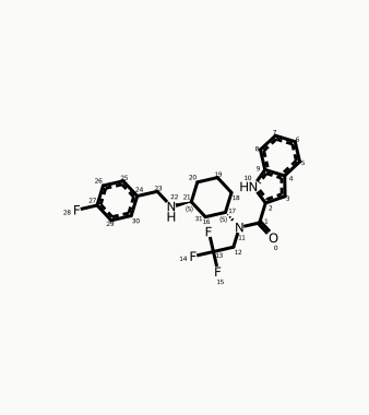 O=C(c1cc2ccccc2[nH]1)N(CC(F)(F)F)[C@H]1CCC[C@H](NCc2ccc(F)cc2)C1